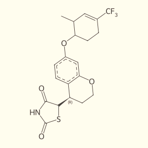 CC1C=C(C(F)(F)F)CCC1Oc1ccc2c(c1)OCC[C@H]2C1SC(=O)NC1=O